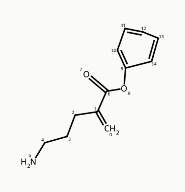 C=C(CCCN)C(=O)Oc1ccccc1